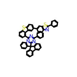 c1ccc(-c2nc(-c3cccc4sc5ccc(-c6ccc7nc(-c8ccccc8)sc7c6)cc5c34)nc(C3(c4ccccc4)c4ccccc4-c4ccccc43)n2)cc1